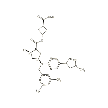 CC[C@@H]1C[C@H](N(Cc2cc(C(F)(F)F)cc(C(F)(F)F)c2)c2ncc(C3C=NN(C)C3)cn2)CN1C(=O)O[C@H]1C[C@H](C(=O)OC)C1